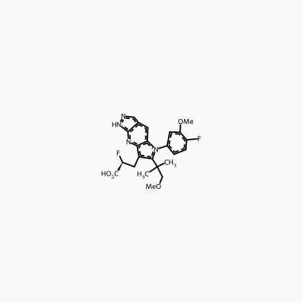 COCC(C)(C)c1c(C[C@H](F)C(=O)O)c2nc3[nH]ncc3cc2n1-c1ccc(F)c(OC)c1